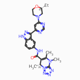 CC[C@@H]1CN(c2cc(-c3n[nH]c4ccc(NC(=O)C5=C(C)N(C)c6nnnn6[C@@H]5C)cc34)ncn2)CCO1